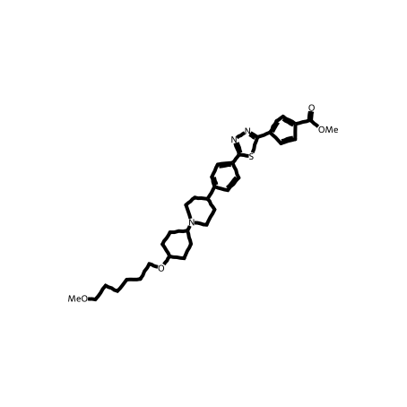 COCCCCCCOC1CCC(N2CCC(c3ccc(-c4nnc(-c5ccc(C(=O)OC)cc5)s4)cc3)CC2)CC1